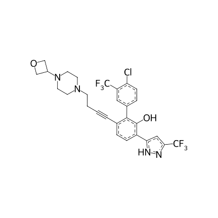 Oc1c(-c2cc(C(F)(F)F)n[nH]2)ccc(C#CCCN2CCN(C3COC3)CC2)c1-c1ccc(Cl)c(C(F)(F)F)c1